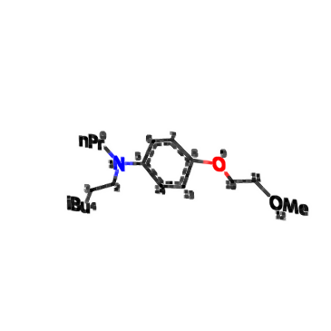 CCCN(CCC(C)CC)c1ccc(OCCOC)cc1